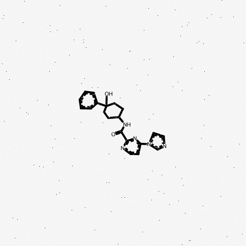 O=C(NC1CCC(O)(c2ccccc2)CC1)c1nccc(-n2ccnc2)n1